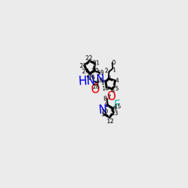 CCCc1ccc(OCc2ncccc2F)cc1N1Cc2ccccc2NC1=O